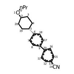 CCCO[C@H]1CC[C@H](c2ccc(-c3ccc(C#N)cc3)cc2)CC1